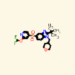 CC(C)(C)c1nc2cc(S(=O)(=O)c3ccnc(OC(F)F)c3)ccc2n1CC1CCOCC1